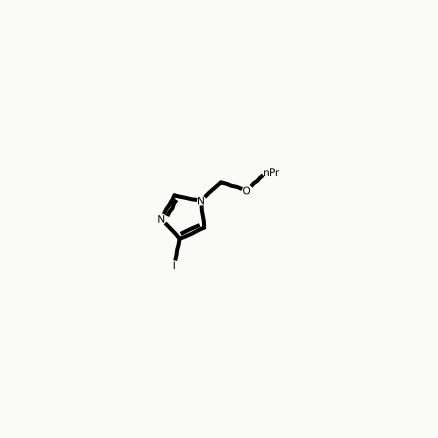 CCCOCn1cnc(I)c1